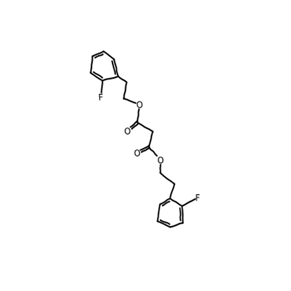 O=C(CC(=O)OCCc1ccccc1F)OCCc1ccccc1F